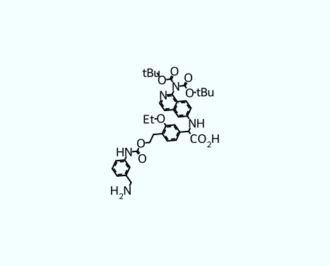 CCOc1cc(C(Nc2ccc3c(N(C(=O)OC(C)(C)C)C(=O)OC(C)(C)C)nccc3c2)C(=O)O)ccc1CCOC(=O)Nc1cccc(CN)c1